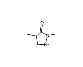 CC1CPN(C)C1=O